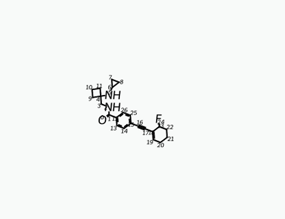 O=C(NCC1(NC2CC2)CCC1)c1ccc(C#CC2=CCCCC2F)cc1